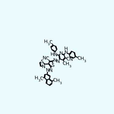 Cc1ccc(Nc2nc(Nc3ccc(C)cc3)c(N=Nc3sc(N=Nc4cc(C)c5cccc(C)c5c4)c(-c4nccs4)c3C#N)c(C)c2C#N)cc1